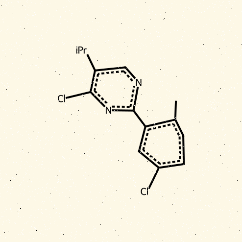 Cc1ccc(Cl)cc1-c1ncc(C(C)C)c(Cl)n1